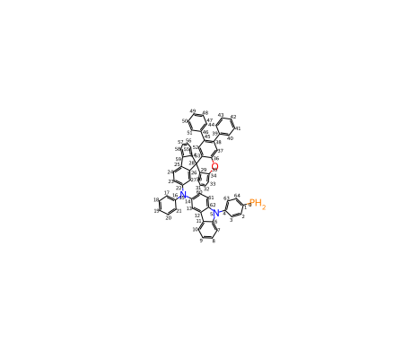 Pc1ccc(-n2c3ccccc3c3cc(N(c4ccccc4)c4ccc5c(c4)C4(c6ccccc6Oc6cc(-c7ccccc7)c(-c7ccccc7)cc64)c4ccccc4-5)ccc32)cc1